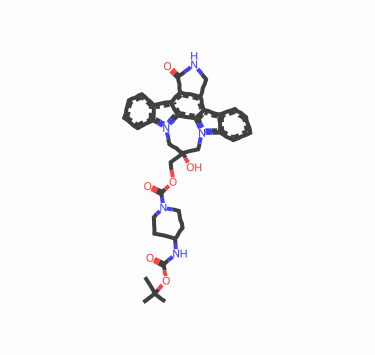 CC(C)(C)OC(=O)NC1CCN(C(=O)OCC2(O)Cn3c4ccccc4c4c5c(c6c7ccccc7n(c6c43)C2)C(=O)NC5)CC1